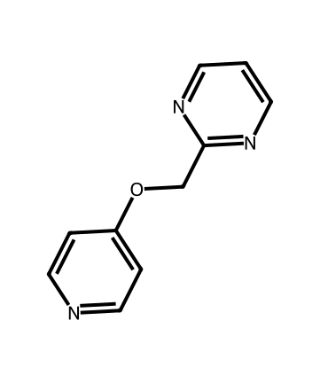 c1cnc(COc2ccncc2)nc1